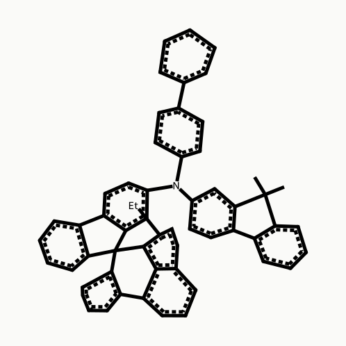 CCc1ccc2cccc3c2c1C1(c2ccccc2-c2ccc(N(c4ccc(-c5ccccc5)cc4)c4ccc5c(c4)C(C)(C)c4ccccc4-5)cc21)c1ccccc1-3